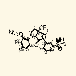 COc1c(N2CCC(C)(C(F)(F)F)C2C(=O)Nc2ccnc([S@](C)(=N)=O)c2)ccc(F)c1F